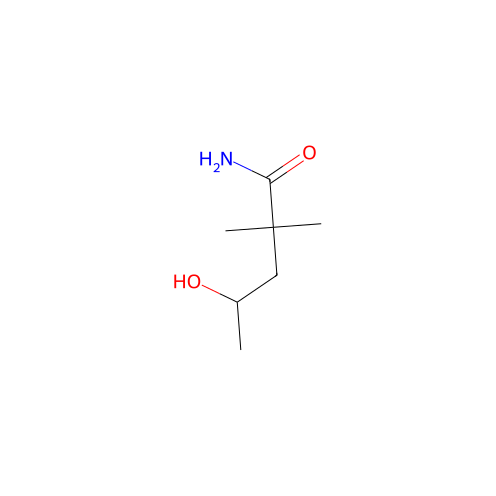 CC(O)CC(C)(C)C(N)=O